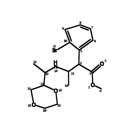 COC(=O)C(c1ccccc1Br)C(C)NC(C)C1COCCO1